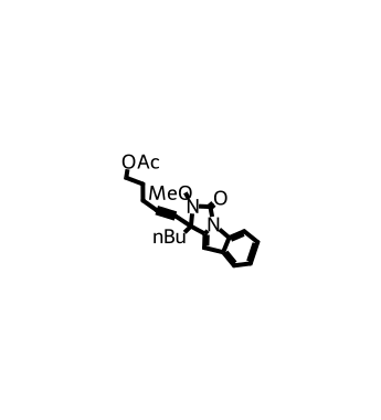 CCCCC1(C#CCCCOC(C)=O)c2cc3ccccc3n2C(=O)N1OC